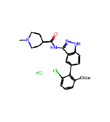 COc1cccc(Cl)c1-c1ccc2[nH]nc(NC(=O)C3CCN(C)CC3)c2c1.Cl